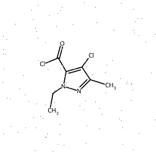 CCn1nc(C)c(Cl)c1C(=O)Cl